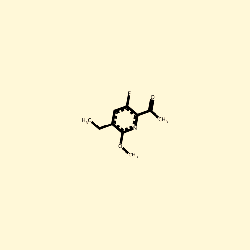 CCc1cc(F)c(C(C)=O)nc1OC